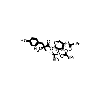 CCCC(=O)O[C@@H]1[C@@H](OC(=O)CCC)[C@H](OC(=O)C(C)(N)Cc2ccc(O)cc2)OC[C@H]1OC(=O)CCC